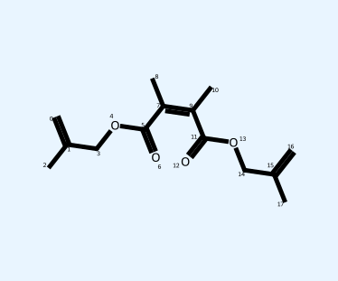 C=C(C)COC(=O)/C(C)=C(/C)C(=O)OCC(=C)C